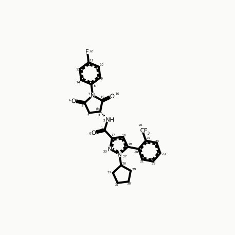 O=C(N[C@@H]1CC(=O)N(c2ccc(F)cc2)C1=O)c1cc(-c2ccccc2C(F)(F)F)n(C2CCCC2)n1